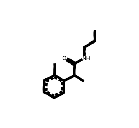 CCCNC(=O)C(C)c1ccccc1C